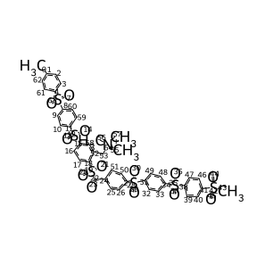 Cc1ccc(S(=O)(=O)c2ccc(S(=O)(=O)c3ccc(S(=O)(=O)C(=O)c4ccc(S(=O)(=O)c5ccc(S(=O)(=O)c6ccc(S(C)(=O)=O)cc6)cc5)cc4)c(C[N+](C)(C)C)c3)cc2)cc1